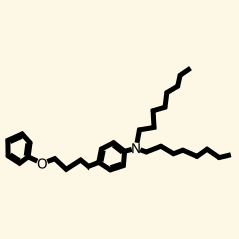 CCCCCCCCN(CCCCCCCC)c1ccc([CH]CCCOc2ccccc2)cc1